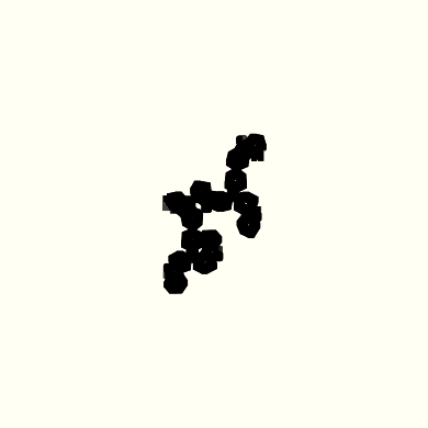 c1ccc2c(c1)sc1ccc(N(c3ccc(-c4ccc5sc6cccnc6c5c4)cc3)c3ccc4sc5c([SH]6c7ccncc7-c7cc(-c8ccc(N(c9ccc%10sc%11ccccc%11c%10c9)c9cccc%10sc%11ccccc%11c9%10)cc8)ccc76)cccc5c4c3)cc12